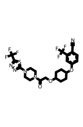 N#Cc1ccc(OC2CCC(OCC(=O)N3CCN(c4nnc(C(F)(F)F)s4)CC3)CC2)cc1C(F)(F)F